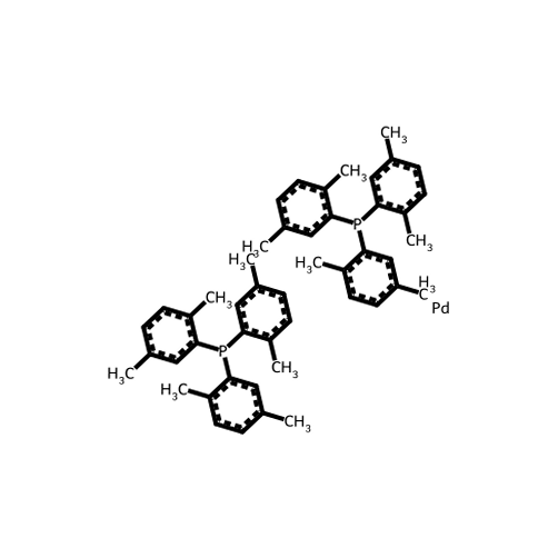 Cc1ccc(C)c(P(c2cc(C)ccc2C)c2cc(C)ccc2C)c1.Cc1ccc(C)c(P(c2cc(C)ccc2C)c2cc(C)ccc2C)c1.[Pd]